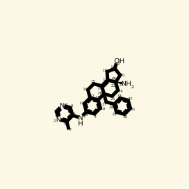 Cc1ncncc1Nc1ccc2c(c1)CCC1=C3CC(O)C[C@]3(N)CCC12Cc1ccccc1